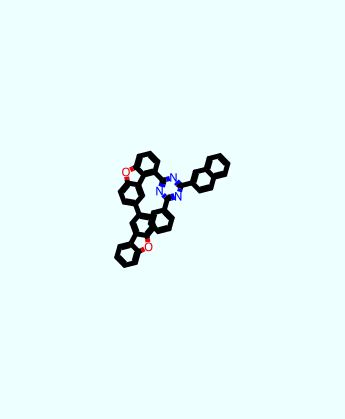 c1ccc(-c2nc(-c3ccc4ccccc4c3)nc(-c3cccc4oc5ccc(-c6ccc7oc8ccccc8c7c6)cc5c34)n2)cc1